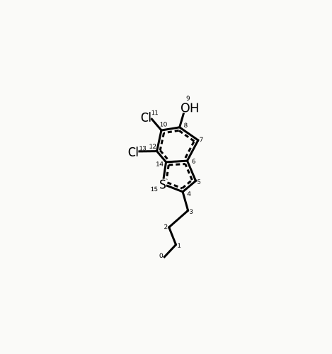 CCCCc1cc2cc(O)c(Cl)c(Cl)c2s1